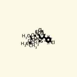 CC(OC(=O)N(C)Cc1ncsc1C(COC=O)c1ccc(Cl)cc1)C(=O)OC(C)(C)C